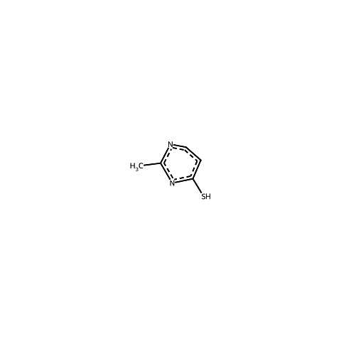 Cc1nccc(S)n1